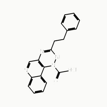 CC(=O)N1NC(CCc2ccccc2)=Nc2cnc3ccccc3c21.Cl